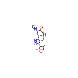 [C-]#[N+]C1=C[C@]2(C)c3nn(C)c(-c4c(C)coc4C)c3CC[C@H]2C(C)(C)C1=O